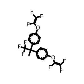 CC(c1ccc(OC(F)=C(F)F)cc1)(c1ccc(OC(F)=C(F)F)cc1)C(F)(F)F